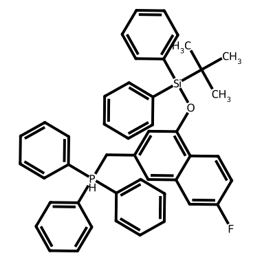 CC(C)(C)[Si](Oc1cc(C[PH](c2ccccc2)(c2ccccc2)c2ccccc2)cc2cc(F)ccc12)(c1ccccc1)c1ccccc1